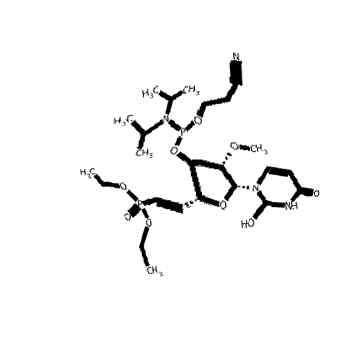 CCOP(=O)(/C=C/[C@H]1O[C@@H](N2C=CC(=O)NC2O)[C@@H](OC)C1OP(OCCC#N)N(C(C)C)C(C)C)OCC